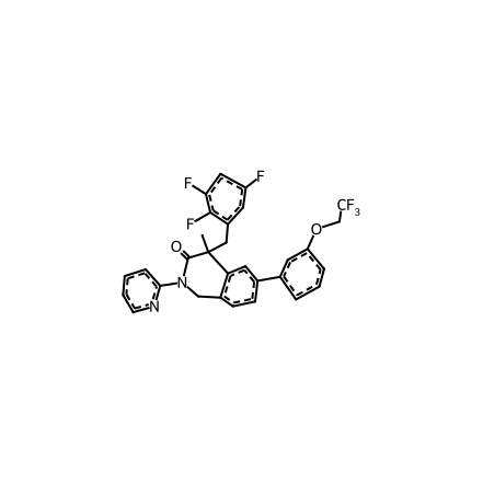 CC1(Cc2cc(F)cc(F)c2F)C(=O)N(c2ccccn2)Cc2ccc(-c3cccc(OCC(F)(F)F)c3)cc21